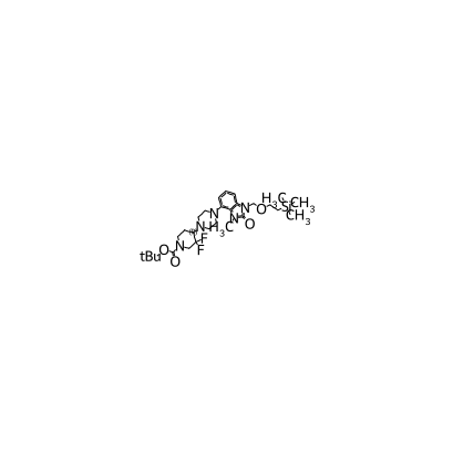 Cn1c(=O)n(COCC[Si](C)(C)C)c2cccc(N3CCN([C@@H]4CCN(C(=O)OC(C)(C)C)CC4(F)F)CC3)c21